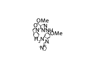 COC(=O)c1cnc(Nc2cc(N)c(N(C)C[C@H]3CCCN3C)cc2OC)nc1-n1ccc2ccccc21